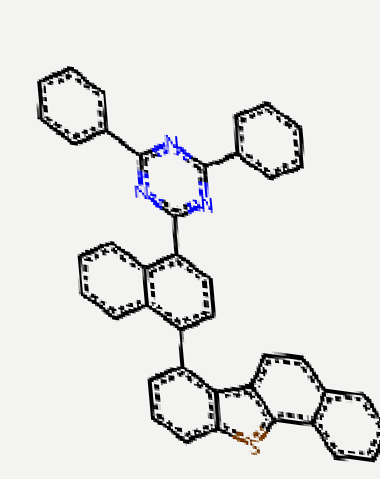 c1ccc(-c2nc(-c3ccccc3)nc(-c3ccc(-c4cccc5sc6c7ccccc7ccc6c45)c4ccccc34)n2)cc1